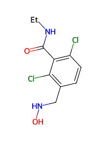 CCNC(=O)c1c(Cl)ccc(CNO)c1Cl